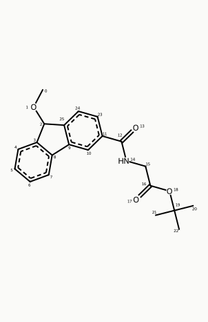 COC1c2ccccc2-c2cc(C(=O)NCC(=O)OC(C)(C)C)ccc21